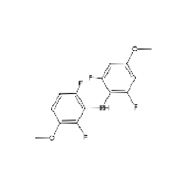 COc1cc(F)c(Bc2c(F)ccc(OC)c2F)c(F)c1